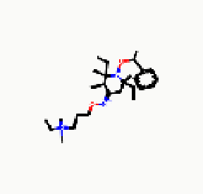 CCC1(C)C/C(=N/OCCC[N+](C)(C)CC)C(C)C(C)(CC)N1OC(C)c1ccccc1